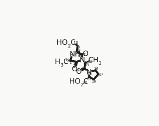 C[C@H](N)C(=O)N(C(=O)CCC(=O)O)[C@@H](C)C(=O)N1CCC[C@H]1C(=O)O